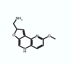 COc1ccc2c(n1)C1=CC(CN)OC1=CN2